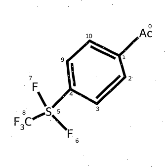 CC(=O)c1ccc(S(F)(F)C(F)(F)F)cc1